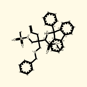 C=CCC(COCc1ccccc1)(COS(C)(=O)=O)C(NC1(c2ccccc2)c2ccccc2-c2ccccc21)C(=O)OC(C)(C)C